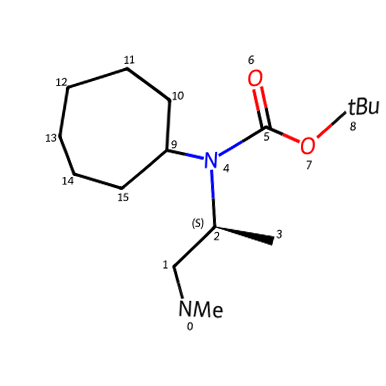 CNC[C@H](C)N(C(=O)OC(C)(C)C)C1CCCCCC1